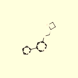 Cl.Cl.c1csc(-c2cncc(OC[C@@H]3CCN3)c2)c1